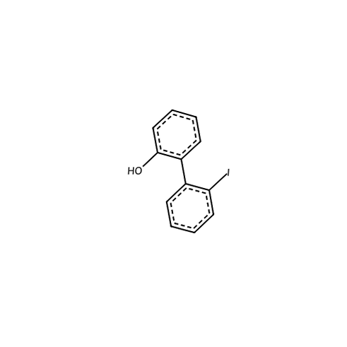 Oc1ccccc1-c1ccccc1I